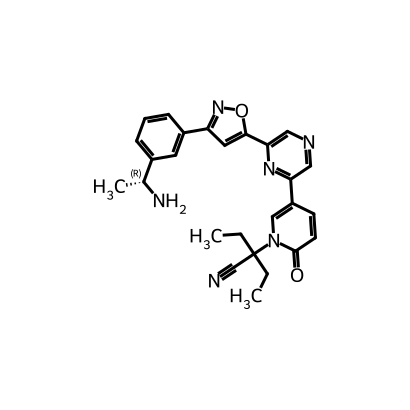 CCC(C#N)(CC)n1cc(-c2cncc(-c3cc(-c4cccc([C@@H](C)N)c4)no3)n2)ccc1=O